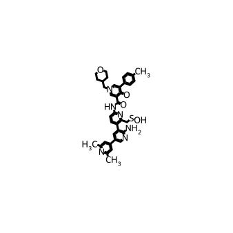 Cc1ccc(-c2cn(CC3CCOCC3)cc(C(=O)Nc3ccc(-c4cc(-c5cc(C)nc(C)c5)cnc4N)c(CSO)n3)c2=O)cc1